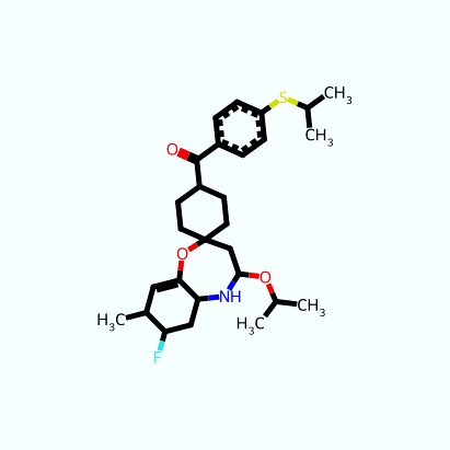 CC(C)OC1CC2(CCC(C(=O)c3ccc(SC(C)C)cc3)CC2)OC2=CC(C)C(F)CC2N1